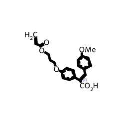 C=CC(=O)OCCCOc1ccc(/C(=C\c2ccc(OC)cc2)C(=O)O)cc1